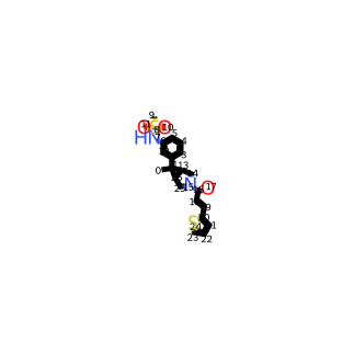 CC1(c2cccc(NS(C)(=O)=O)c2)C2CN(C(=O)C=Cc3cccs3)CC21